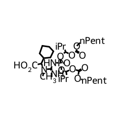 CCCCCOC(=O)OC(OP(=O)(NC(=N)N(C)C(C(=O)O)C1CCCCC1)OC(OC(=O)OCCCCC)C(C)C)C(C)C